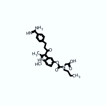 CCCCN(CC(=O)O)C(=O)Oc1ccc2[nH]c(C)c(C(=O)CCc3ccc(C(=N)N)cc3)c2c1.Cl